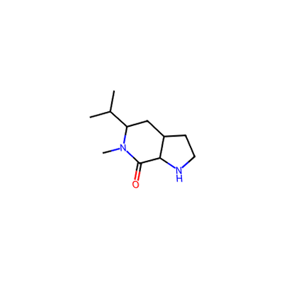 CC(C)C1CC2CCNC2C(=O)N1C